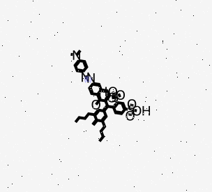 C=c1c(CCCC)cc2c(c1CCCC)Oc1c(ccc3cc(/N=N/c4ccc(N(C)C)cc4)ccc13)C=2c1ccc(S(=O)(=O)O)cc1S(=O)(=O)O